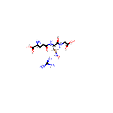 N=C(N)N.N[C@@H](CCC(=O)N[C@@H](CSN=O)C(=O)NCC(=O)O)C(=O)O